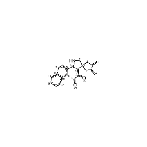 C=CCC1(CC=C)CNN(c2ccc3ccccc3c2)C1C(=O)C=O